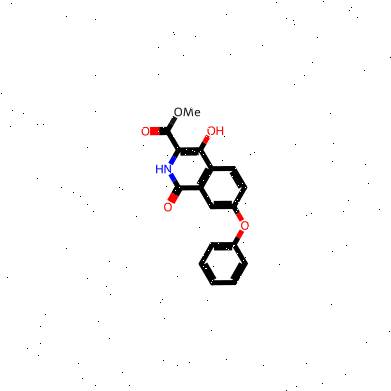 COC(=O)c1[nH]c(=O)c2cc(Oc3ccccc3)ccc2c1O